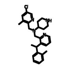 Cc1ccccc1C(C)c1cccnc1CN(Cc1ncc(Cl)cc1C)C1CCNCC1